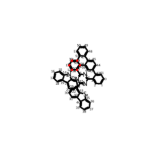 c1ccc(-c2nc(-c3ccccc3-n3c4ccccc4c4ccccc43)nc(-c3cccc4c3sc3ccccc34)n2)c(-c2ccc3c4ccccc4c4ccccc4c3c2)c1